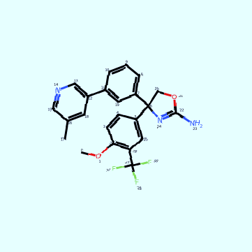 COc1ccc(C2(c3cccc(-c4cncc(C)c4)c3)COC(N)=N2)cc1C(F)(F)F